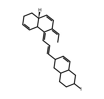 C/C=C1/C=C[C@H]2CCC=CC2/C1=C/C=C/C1C=CC2CC(I)CCC2C1